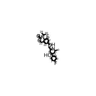 CC1CC(O)(c2ccc(F)cc2)CC(COc2cc(F)c3c(c2)COC(=O)N3C(C)C)N1